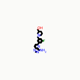 Nc1ncnc2ccc(-c3cc(F)cc(CN4CCCC(CO)C4)c3)nc12